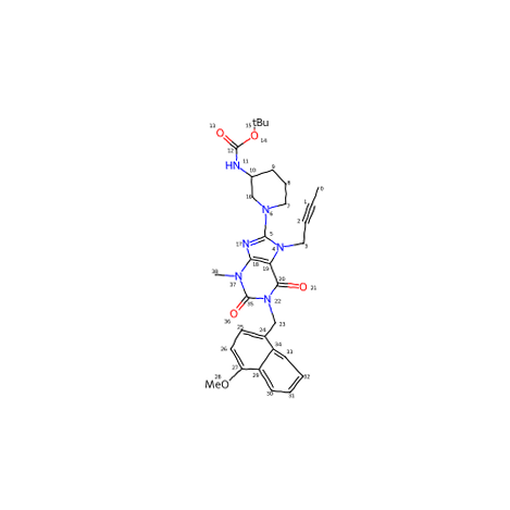 CC#CCn1c(N2CCCC(NC(=O)OC(C)(C)C)C2)nc2c1c(=O)n(Cc1ccc(OC)c3ccccc13)c(=O)n2C